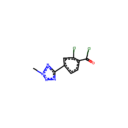 Cn1nnc(-c2ccc(C(=O)Cl)c(Cl)c2)n1